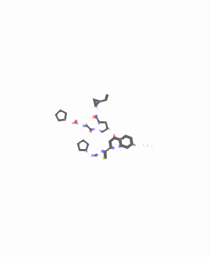 C=CC1C[C@]1(NC(=O)C1C[C@@H](Oc2cc(-c3csc(NC4CCCC4)n3)nc3cc(OC)ccc23)CN1C(=O)[C@@H](NC(=O)OC1CCCC1)C(C)(C)C)C(=O)O